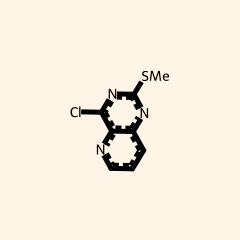 CSc1nc(Cl)c2ncccc2n1